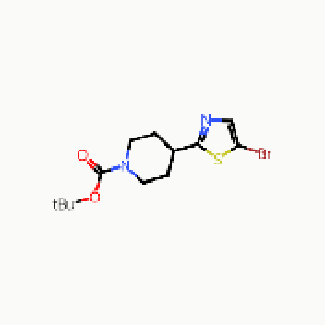 CC(C)(C)OC(=O)N1CCC(c2ncc(Br)s2)CC1